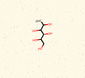 O=CC(O)C(O)[C@@H](O)C(O)CO